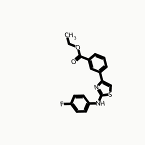 CCOC(=O)c1cccc(-c2csc(Nc3ccc(F)cc3)n2)c1